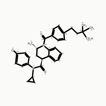 C[C@H]1C[C@H](C(=O)N(c2ccc(Cl)cc2)C2CC2)c2ccccc2N1C(=O)c1ccc(CCC(C)(C)C(=O)O)cc1